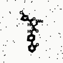 CSC[C@H](NC(=O)c1ccc(Cl)s1)C(=O)Nc1ccc(-n2ccccc2=O)cc1